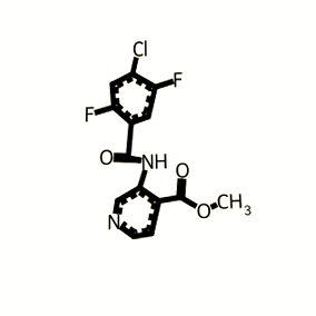 COC(=O)c1ccncc1NC(=O)c1cc(F)c(Cl)cc1F